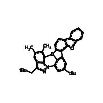 Cc1cc2c(CC(C)(C)C)nn3c2c(c1C)B1c2ccc4c(oc5ccccc54)c2-c2cc(C(C)(C)C)cc-3c21